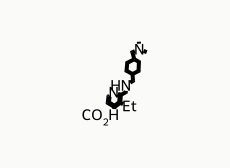 CCc1c(C(=O)O)ccnc1CNCC1CCC(CN(C)C)CC1